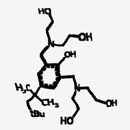 CC(C)(C)CC(C)(C)c1cc(CN(CCO)CCO)c(O)c(CN(CCO)CCO)c1